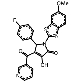 COc1ccc2nc(N3C(=O)C(O)=C(C(=O)c4cccnc4)C3c3ccc(F)cc3)sc2c1